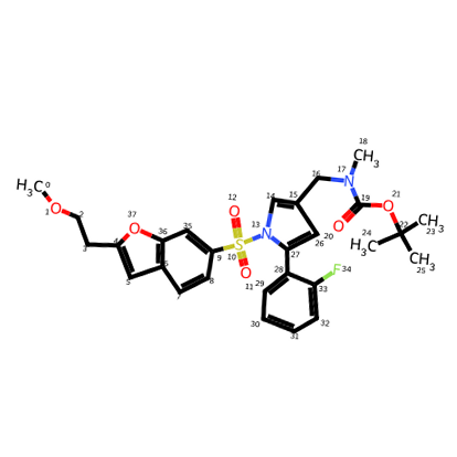 COCCc1cc2ccc(S(=O)(=O)n3cc(CN(C)C(=O)OC(C)(C)C)cc3-c3ccccc3F)cc2o1